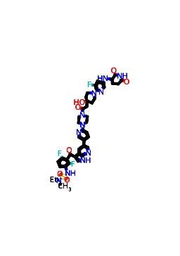 CCN(C)S(=O)(=O)Nc1ccc(F)c(C(=O)c2c[nH]c3ncc(-c4ccc(N5CCN(C(=O)CC6(O)CCN(c7ncc(NC8CCC(=O)NC8=O)cc7F)CC6)CC5)nc4)cc23)c1F